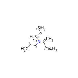 CCCN([SiH2]C[SiH3])C(C)CC